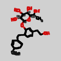 COc1ccc(Cc2ccc(CCO)cc2O[C@@H]2O[C@H]([C@@H](C)O)[C@@H](O)[C@H](O)[C@H]2O)cc1